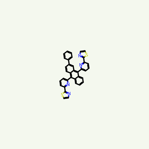 c1ccc(-c2ccc3c(-c4cccc(-c5nccs5)n4)c4ccccc4c(-c4cccc(-c5nccs5)n4)c3c2)cc1